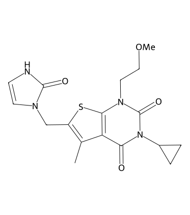 COCCn1c(=O)n(C2CC2)c(=O)c2c(C)c(Cn3cc[nH]c3=O)sc21